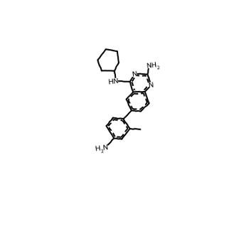 Cc1cc(N)ccc1-c1ccc2nc(N)nc(NC3CCCCC3)c2c1